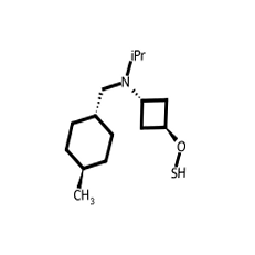 CC(C)N(C[C@H]1CC[C@H](C)CC1)[C@H]1C[C@H](OS)C1